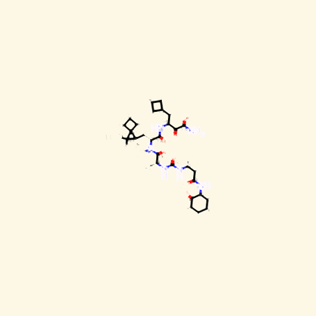 CC(C)[C@@H](CC(=O)NC1CCCCC1=O)NC(=O)N[C@H](C(=O)N(C)[C@@H](C[C@@]1(C)C(C)(C)C12CCC2)C(=O)NC(CC1CCC1)C(=O)C(N)=O)C(C)(C)C